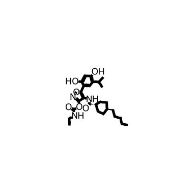 CCCCC[C@H]1CC[C@H](C(=O)Nc2c(OC(=O)NCC)noc2-c2cc(C(C)C)c(O)cc2O)CC1